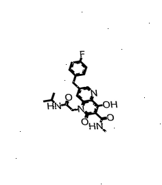 CNC(=O)c1c(O)c2ncc(Cc3ccc(F)cc3)cc2n(CC(=O)NC(C)C)c1=O